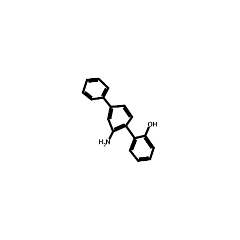 Nc1cc(-c2ccccc2)ccc1-c1ccccc1O